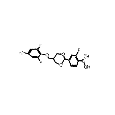 CCCc1cc(F)c(OCC2COC(c3ccc(B(O)O)c(F)c3)OC2)c(F)c1